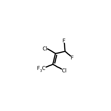 FC(F)/C(Cl)=C(\Cl)C(F)(F)F